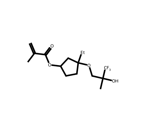 C=C(C)C(=O)OC1CCC(CC)(OCC(C)(O)C(F)(F)F)C1